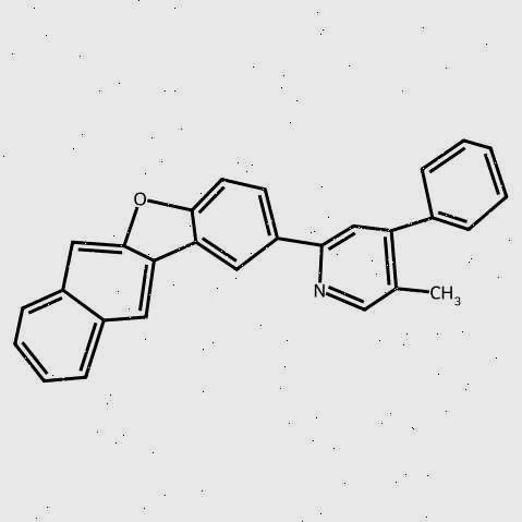 Cc1cnc(-c2ccc3oc4cc5ccccc5cc4c3c2)cc1-c1ccccc1